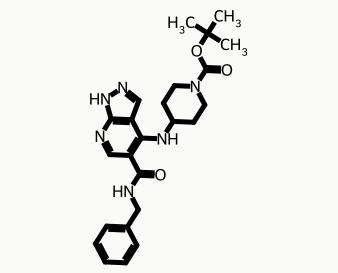 CC(C)(C)OC(=O)N1CCC(Nc2c(C(=O)NCc3ccccc3)cnc3[nH]ncc23)CC1